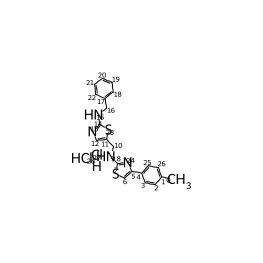 Cc1ccc(-c2csc(NCc3cnc(NCc4ccccc4)s3)n2)cc1.Cl.Cl